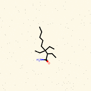 CCCCCC(CC)(CC)C(CC)C(N)=O